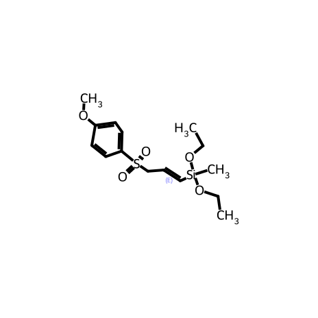 CCO[Si](C)(/C=C/CS(=O)(=O)c1ccc(OC)cc1)OCC